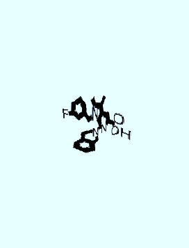 Cc1c(C)n(Cc2cccc(F)c2)c2c(N3CCc4ccccc4C3)nc(C(=O)O)cc12